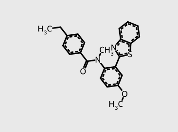 CCc1ccc(C(=O)N(C)c2ccc(OC)cc2-c2nc3ccccc3s2)cc1